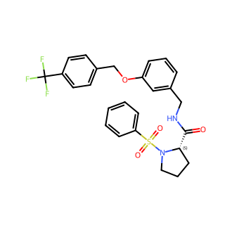 O=C(NCc1cccc(OCc2ccc(C(F)(F)F)cc2)c1)[C@@H]1CCCN1S(=O)(=O)c1ccccc1